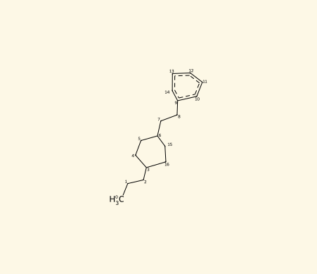 CCCC1CCC(CCc2ccccc2)CC1